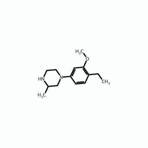 CCc1ccc(N2CCNC(C)C2)cc1OC